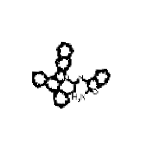 Nc1oc2ccccc2c1/N=C(\Cc1ccccc1)n1c2cc3ccccc3cc2c2c3ccccc3ccc21